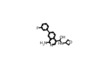 Nc1ncc(C(O)NC2COC2)c2ccc(-c3cccc(F)c3)cc12